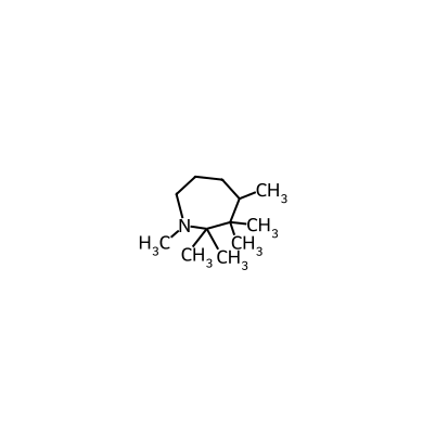 CC1CCCN(C)C(C)(C)C1(C)C